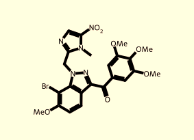 COc1cc(C(=O)c2nn(Cc3ncc([N+](=O)[O-])n3C)c3c(Br)c(OC)ccc23)cc(OC)c1OC